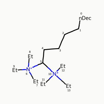 CCCCCCCCCCCCCCC([N+](CC)(CC)CC)[N+](CC)(CC)CC